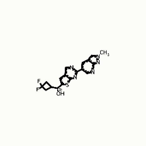 Cn1cc2cc(-c3ncc4cc([C@@H](O)C5CC(F)(F)C5)sc4n3)cnc2n1